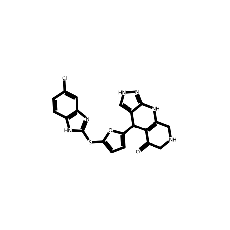 O=C1CNCC2=C1C(c1ccc(Sc3nc4cc(Cl)ccc4[nH]3)o1)c1c[nH]nc1N2